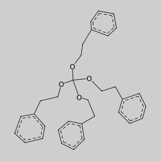 c1ccc(CCOC(OCCc2ccccc2)(OCCc2ccccc2)OCCc2ccccc2)cc1